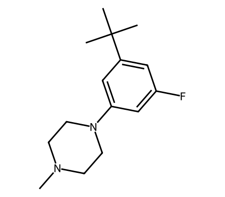 CN1CCN(c2cc(F)cc(C(C)(C)C)c2)CC1